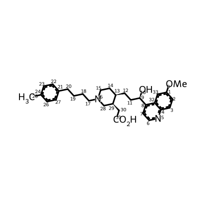 COc1ccc2nccc([C@H](O)CC[C@@H]3CCN(CCCCc4ccc(C)cc4)C[C@@H]3CC(=O)O)c2c1